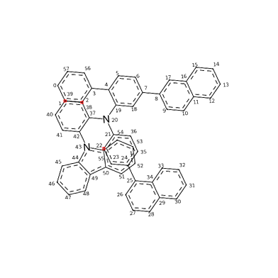 c1ccc(-c2ccc(-c3ccc4ccccc4c3)cc2N(c2ccc(-c3cccc4ccccc34)cc2)c2ccccc2-n2c3ccccc3c3ccccc32)cc1